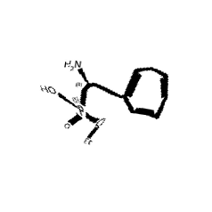 CCO[P@@](=O)(O)[C@@H](N)c1ccccc1